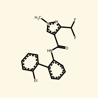 CCc1ccccc1-c1ccccc1NC(=O)c1cn(C)nc1C(F)F